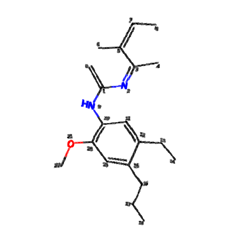 C=C(/N=C(C)\C(C)=C/C)Nc1cc(CC)c(CCC)cc1OC